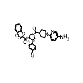 CN(C(=O)Oc1ccccc1Cl)[C@@H]1CN(C(=O)C2CCN(c3ccc(N)cn3)CC2)C[C@H]1c1ccc(Cl)cc1